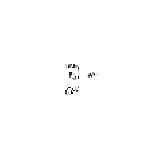 [CsH].[KH].[NaH].[Sb]